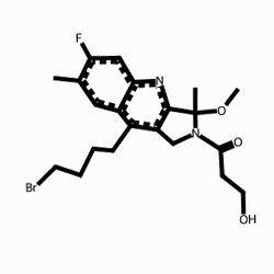 COC1(C)c2nc3cc(F)c(C)cc3c(CCCCBr)c2CN1C(=O)CCO